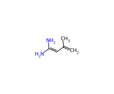 C=C(C)C=C(N)N